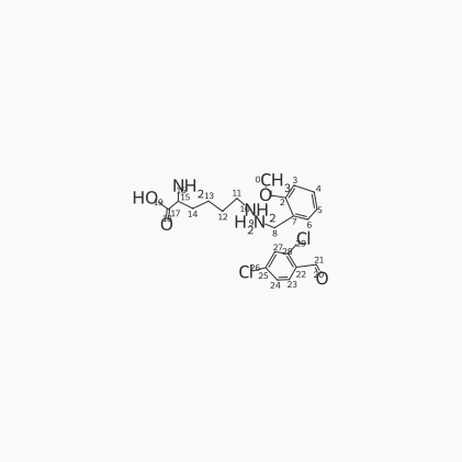 COc1ccccc1CN.NCCCCC(N)C(=O)O.O=Cc1ccc(Cl)cc1Cl